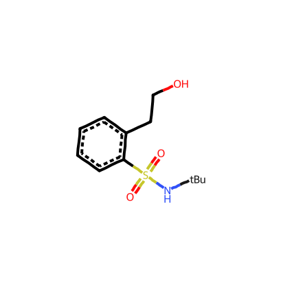 CC(C)(C)NS(=O)(=O)c1ccccc1CCO